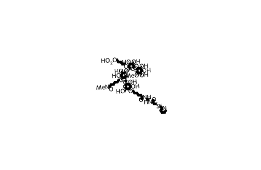 CNC(=O)CCCCCO[C@H]1[C@H](O)[C@@H](O)[C@@H](OC[C@H]2O[C@H](O[C@H]3O[C@H](OC)[C@H](O)[C@@H](O)[C@@H]3O)[C@H](O)[C@@H](O)[C@@H]2OCCCCCC(=O)O)O[C@@H]1CO[C@H]1O[C@H](CO)[C@@H](OCCCCCC(=O)NCCNC(=O)CCSSc2ccccn2)[C@H](O)[C@H]1O